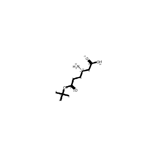 CC(C)(C)OC(=O)CC[C@H](N)CC(=O)O